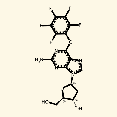 Nc1nc(Oc2c(F)c(F)c(F)c(F)c2F)c2ncn([C@H]3C[C@H](O)[C@@H](CO)O3)c2n1